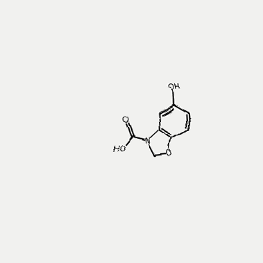 O=C(O)N1COc2ccc(O)cc21